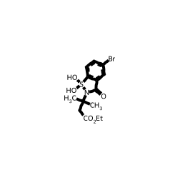 CCOC(=O)CC(C)(C)N1C(=O)c2cc(Br)ccc2S1(O)O